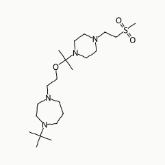 CC(C)(C)N1CCCN(CCOC(C)(C)N2CCN(CCS(C)(=O)=O)CC2)CC1